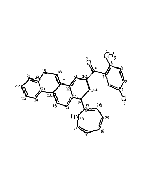 Cc1ccc(Cl)cc1C(=O)C1C=c2c(ccc3c2=CCc2ccccc2-3)C(C2=CC=CC=CN2)C1